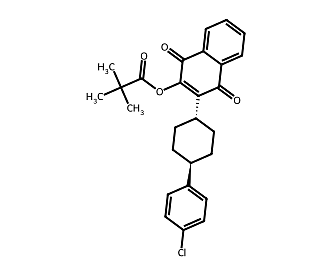 CC(C)(C)C(=O)OC1=C([C@H]2CC[C@H](c3ccc(Cl)cc3)CC2)C(=O)c2ccccc2C1=O